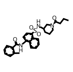 CCCC(=O)N1CCCC(NS(=O)(=O)c2ccc(NC(=O)c3ccccc3C)c3ccccc23)C1